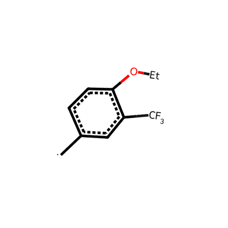 [CH2]c1ccc(OCC)c(C(F)(F)F)c1